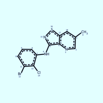 Cc1cnc2c(Nc3cccc(Br)c3Cl)nsc2c1